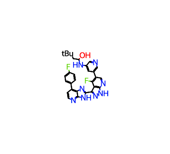 CC(C)(C)CC(O)Nc1cncc(-c2cnc3[nH]nc(-c4nc5c(-c6ccc(F)cc6)ccnc5[nH]4)c3c2F)c1